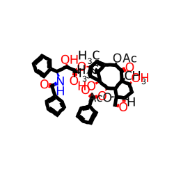 CC(=O)O[C@H]1C(=O)[C@@]2(C)C([C@H](OC(=O)c3ccccc3)[C@]3(O)C[C@H](OC(=O)[C@H](O)[C@@H](NC(=O)c4ccccc4)c4ccccc4)C(C)=C1C3(C)C)[C@]1(OC(C)=O)CO[C@@H]1C[C@@H]2O